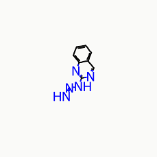 N=NNc1ncc2ccccc2n1